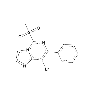 CS(=O)(=O)c1nc(-c2ccccc2)c(Br)c2nccn12